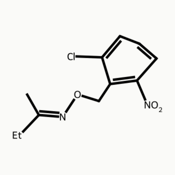 CCC(C)=NOCc1c(Cl)cccc1[N+](=O)[O-]